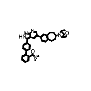 CN(C)C(=O)c1ccccc1-c1ccc(-c2[nH]nc3ncc(-c4ccc5c(c4)CC[C@@H](N4C6COCC4C6)CC5)cc23)cc1